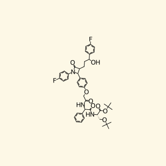 CC(C)(C)OC[C@H](NC(=O)[C@H](NC(=O)COc1ccc(C2C(CCC(O)c3ccc(F)cc3)C(=O)N2c2ccc(F)cc2)cc1)c1ccccc1)C(=O)OC(C)(C)C